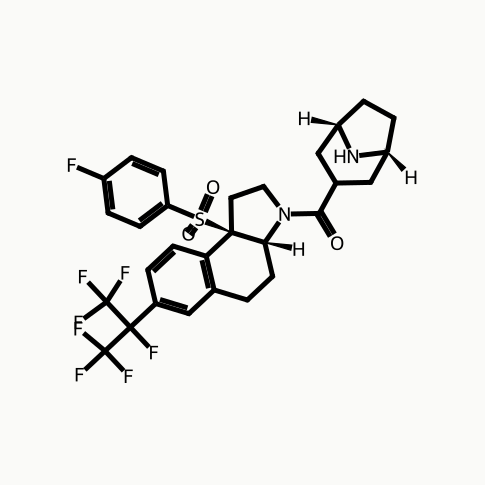 O=C(C1C[C@H]2CC[C@@H](C1)N2)N1CC[C@@]2(S(=O)(=O)c3ccc(F)cc3)c3ccc(C(F)(C(F)(F)F)C(F)(F)F)cc3CC[C@@H]12